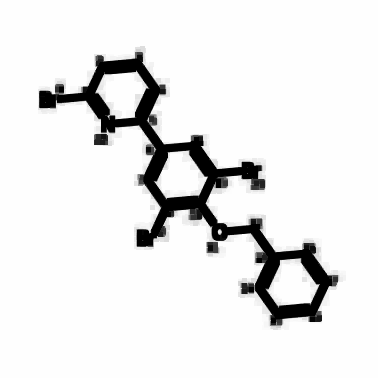 Brc1cccc(-c2cc(Br)c(OCc3ccccc3)c(Br)c2)n1